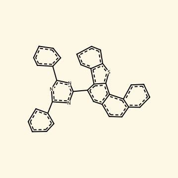 c1ccc(-c2nc(-c3ccccc3)nc(-c3cc4ccc5ccccc5c4c4sc5ccccc5c34)n2)cc1